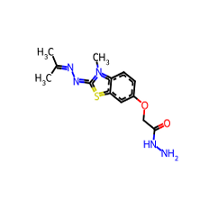 CC(C)=NN=c1sc2cc(OCC(=O)NN)ccc2n1C